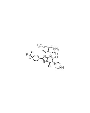 CCc1c(N2CCNCC2)c(=O)n2nc(C3=CCC4(CC3)CC4(F)F)nc2n1C(C(N)=O)c1ccc(C(F)(F)F)cc1Cl